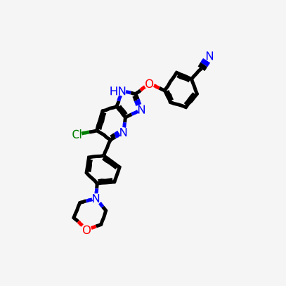 N#Cc1cccc(Oc2nc3nc(-c4ccc(N5CCOCC5)cc4)c(Cl)cc3[nH]2)c1